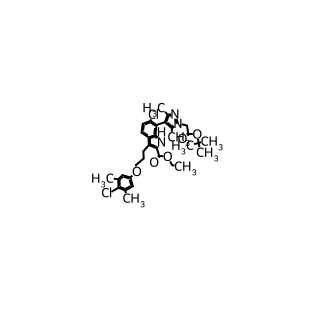 CCOC(=O)c1[nH]c2c(-c3c(C)nn(CC(=O)OC(C)(C)C)c3C)c(Cl)ccc2c1CCCOc1cc(C)c(Cl)c(C)c1